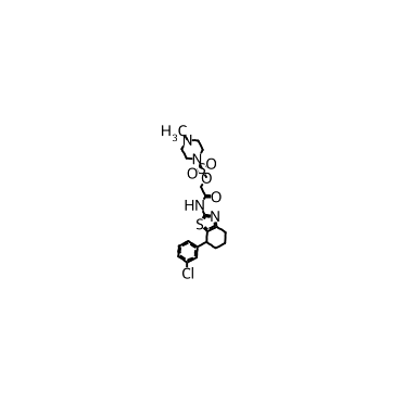 CN1CCN(S(=O)(=O)OCC(=O)Nc2nc3c(s2)C(c2cccc(Cl)c2)CCC3)CC1